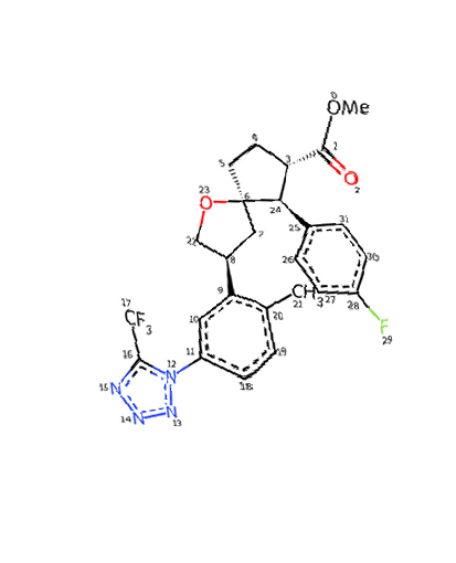 COC(=O)[C@H]1CC[C@@]2(C[C@@H](c3cc(-n4nnnc4C(F)(F)F)ccc3C)CO2)[C@@H]1c1ccc(F)cc1